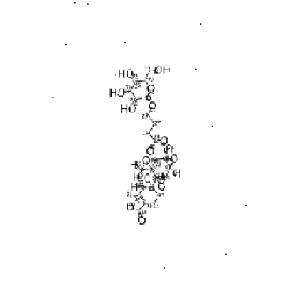 CC(C)[C@]12O[C@H]1[C@@H]1O[C@]13[C@]1(O[C@H]1C[C@H]1C4=C(CC[C@@]13C)C(=O)OC4)[C@@H]2OC(=O)CCCO[C@@H]1OC(CO)[C@@H](O)C(O)C1O